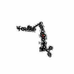 Cc1ncsc1-c1ccc([C@H](C)NC(=O)[C@@H]2CCCN2C(=O)[C@@H](NC(=O)CCCCCC(C=O)N2CCN(CC3(C)CCC(c4ccc(Cl)cc4)=C(CN4CCN(c5ccc(C(=O)NS(=O)(=O)c6ccc(N[C@H](CCN7CCOCC7)CSc7ccccc7)c(S(=O)(=O)C(F)(F)F)c6)cc5)CC4)C3)CC2)C(C)(C)C)cc1